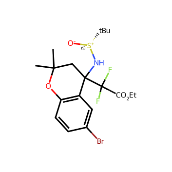 CCOC(=O)C(F)(F)C1(N[S@+]([O-])C(C)(C)C)CC(C)(C)Oc2ccc(Br)cc21